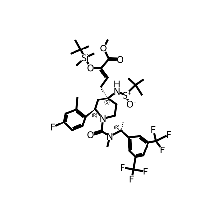 COC(=O)C(=CC[C@]1(N[S+]([O-])C(C)(C)C)CCN(C(=O)N(C)[C@H](C)c2cc(C(F)(F)F)cc(C(F)(F)F)c2)[C@@H](c2ccc(F)cc2C)C1)O[Si](C)(C)C(C)(C)C